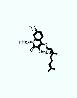 CCCCCCn1c(=O)c(OCCCC)c(OCC=C(C)CCC=C(C)C)c2ccc([N+](=O)[O-])cc21